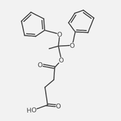 CC(OC(=O)CCC(=O)O)(Oc1ccccc1)Oc1ccccc1